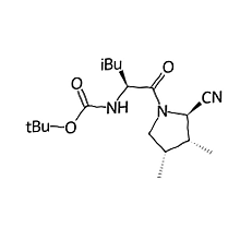 CCC(C)[C@H](NC(=O)OC(C)(C)C)C(=O)N1C[C@@H](C)[C@@H](C)[C@@H]1C#N